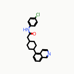 O=C(CC1CCC(c2cccc3cnccc23)CC1)Nc1ccc(Cl)cc1